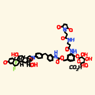 C[C@]12C=CC(=O)C=C1[C@@H](F)C[C@H]1[C@@H]3C[C@H]4CN(c5ccc(Cc6cccc(NC(=O)OCc7ccc(O[C@@H]8O[C@H](C(=O)O)[C@@H](O)[C@H](O)[C@H]8O)c(NC(=O)CCNC(=O)CCN8C(=O)C=CC8=O)c7)c6)cc5)C[C@@]4(C(=O)CO)[C@@]3(C)C[C@H](O)[C@@]12F